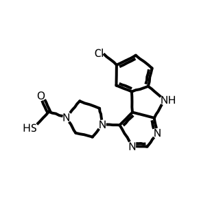 O=C(S)N1CCN(c2ncnc3[nH]c4ccc(Cl)cc4c23)CC1